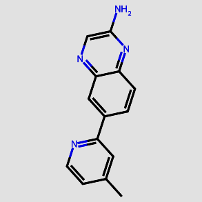 Cc1ccnc(-c2ccc3nc(N)cnc3c2)c1